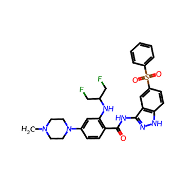 CN1CCN(c2ccc(C(=O)Nc3n[nH]c4ccc(S(=O)(=O)c5ccccc5)cc34)c(NC(CF)CF)c2)CC1